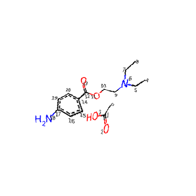 CC(=O)O.CCN(CC)CCOC(=O)c1ccc(N)cc1